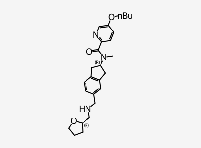 CCCCOc1ccc(C(=O)N(C)[C@@H]2Cc3ccc(CNC[C@H]4CCCO4)cc3C2)nc1